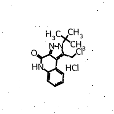 CC(C)(C)n1nc2c(=O)[nH]c3ccccc3c2c1CCl.Cl